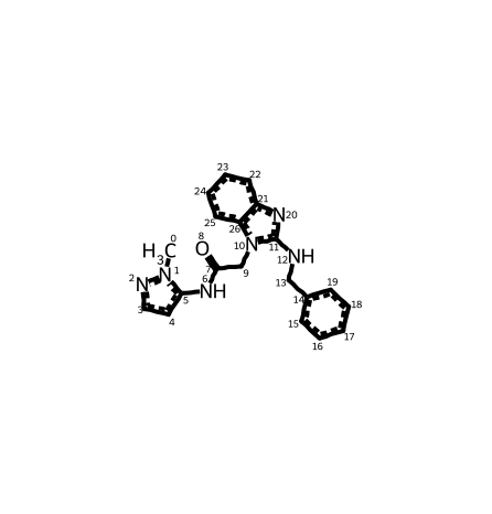 Cn1nccc1NC(=O)Cn1c(NCc2ccccc2)nc2ccccc21